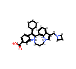 O=C(O)c1ccc2c(C3CCCCC3)c3n(c2c1)CCCn1cc(CN2CCC2)c2cccc-3c21